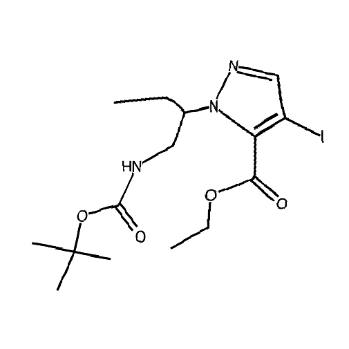 CCOC(=O)c1c(I)cnn1C(CC)CNC(=O)OC(C)(C)C